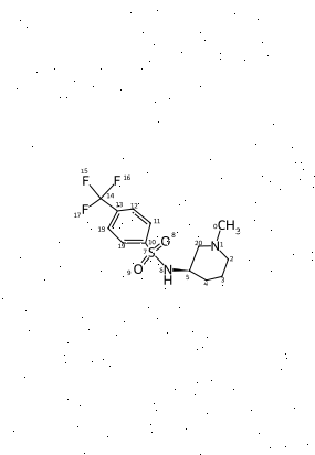 CN1CCC[C@@H](NS(=O)(=O)c2ccc(C(F)(F)F)cc2)C1